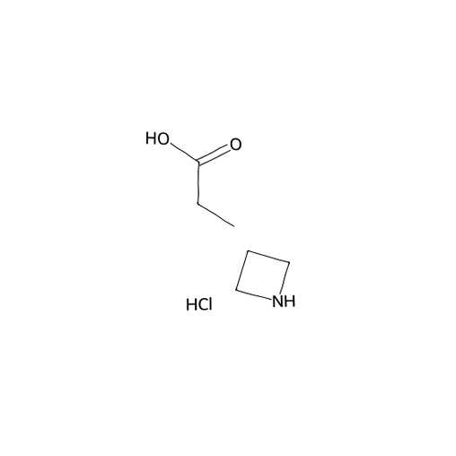 C1CNC1.CCC(=O)O.Cl